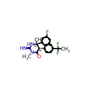 CN1C(=N)N[C@](C)(c2cccc(F)c2)[C@@H](c2ccc(C(C)(F)F)cc2)C1=O